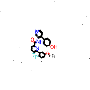 CCCOc1ccc(F)c(-c2nc(C(=O)Nc3cnccc3C3CCC(O)CC3)ccc2F)c1